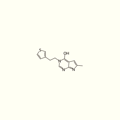 Cc1cc2c(O)n(CCc3ccsc3)cnc-2n1